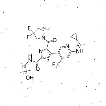 C[C@H](Nc1cc(C(F)(F)F)c(-c2sc(C(=O)N[C@@H](C)C(C)(C)O)nc2C(=O)N2CC(F)(F)C[C@@H]2C)cn1)C1CC1